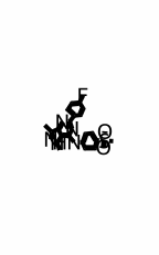 Cc1nn(C)c2c(Nc3ccc(S(C)(=O)=O)cc3)nc(-c3ccc(F)cc3)nc12